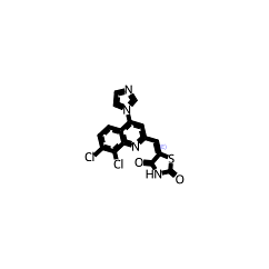 O=C1NC(=O)/C(=C\c2cc(-n3ccnc3)c3ccc(Cl)c(Cl)c3n2)S1